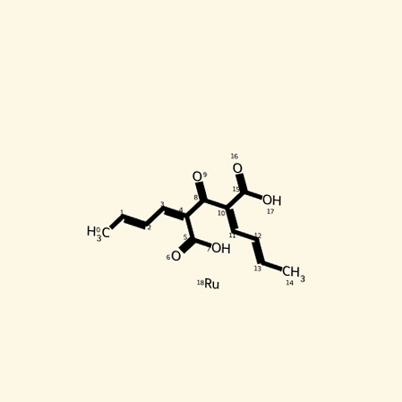 CC=CC=C(C(=O)O)C(=O)C(=CC=CC)C(=O)O.[Ru]